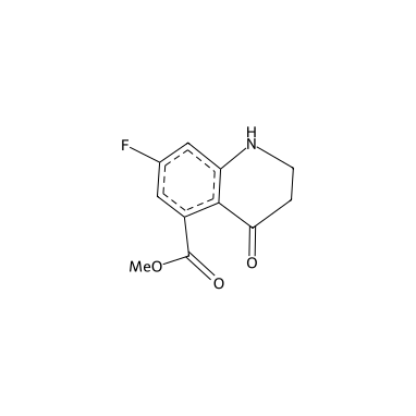 COC(=O)c1cc(F)cc2c1C(=O)CCN2